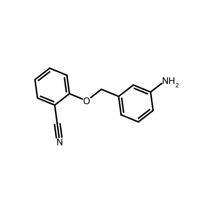 N#Cc1ccccc1OCc1cccc(N)c1